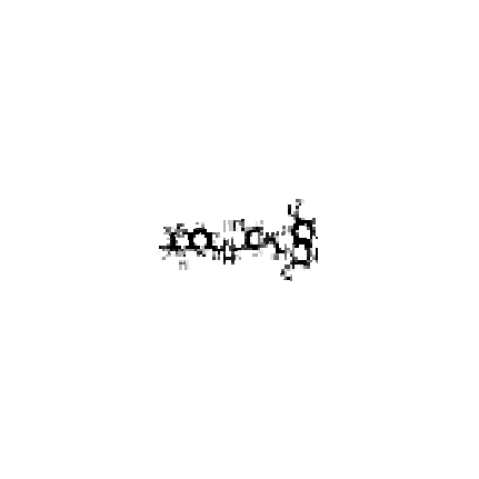 COc1cnc2ncc(=O)n(CCN3C[C@H](CNCc4ccc5c(n4)NC(=O)CS5)[C@H](O)C3)c2c1